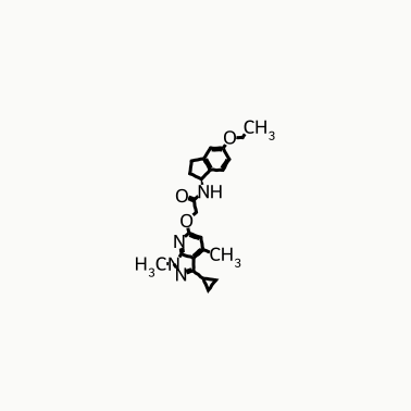 CCOc1ccc2c(c1)CC[C@@H]2NC(=O)COc1cc(C)c2c(C3CC3)nn(C)c2n1